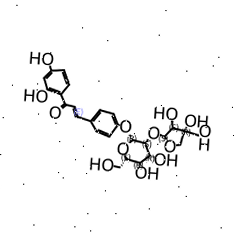 O=C(/C=C/c1ccc(O[C@H]2O[C@@H](CO)[C@H](O)[C@@H](O)[C@@H]2O[C@@H]2OC[C@](O)(CO)[C@@H]2O)cc1)c1ccc(O)cc1O